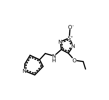 CCOc1n[s+]([O-])nc1NCc1ccncc1